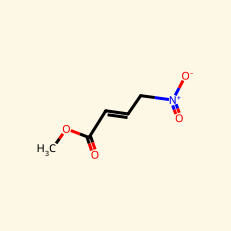 COC(=O)/C=C/C[N+](=O)[O-]